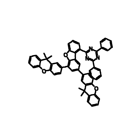 CC1(C)c2ccccc2Oc2ccc(-c3cc(-c4ccc5c(c4)C(C)(C)c4ccccc4O5)c4oc5cccc(-c6nc(-c7ccccc7)nc(-c7ccccc7)n6)c5c4c3)cc21